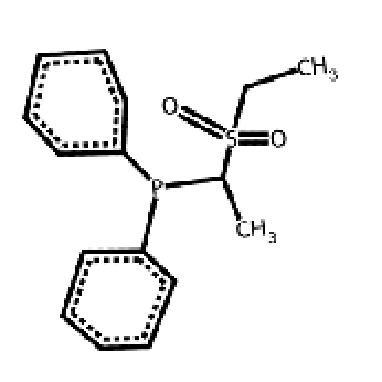 CCS(=O)(=O)C(C)P(c1ccccc1)c1ccccc1